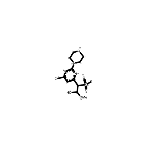 COC(O)C(c1cc(Cl)nc(N2CCOCC2)n1)S(C)(=O)=O